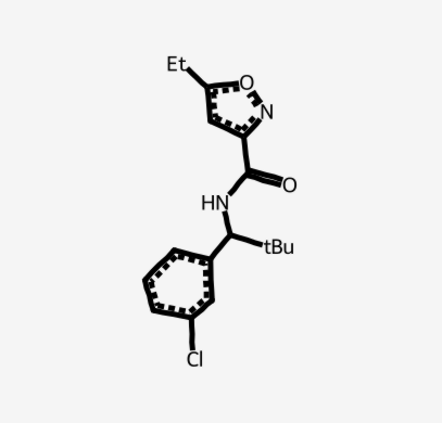 CCc1cc(C(=O)NC(c2cccc(Cl)c2)C(C)(C)C)no1